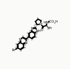 CC(C)[C@H](NC(=O)O)C(=O)N1CCC[C@H]1c1nc2cc(-c3cnc4cc(Br)ccc4n3)ccc2[nH]1